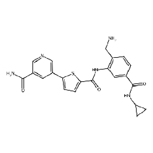 NCc1ccc(C(=O)NC2CC2)cc1NC(=O)c1ccc(-c2cncc(C(N)=O)c2)s1